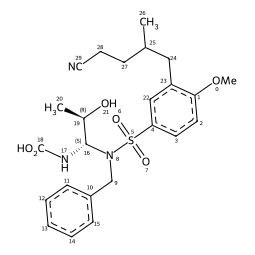 COc1ccc(S(=O)(=O)N(Cc2ccccc2)[C@H](NC(=O)O)[C@@H](C)O)cc1CC(C)CCC#N